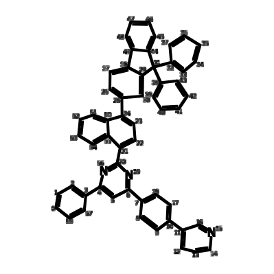 c1ccc(-c2cc(-c3ccc(-c4cccnc4)cc3)nc(-c3ccc(-c4ccc5c(c4)C(c4ccccc4)(c4ccccc4)c4ccccc4-5)c4ccccc34)n2)cc1